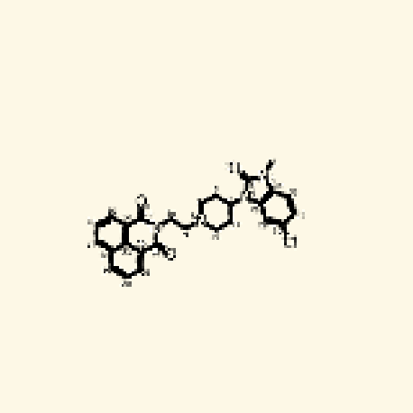 Cn1c(=O)n(C2CCN(CCN3C(=O)c4cccc5cccc(c45)C3=O)CC2)c2cc(Cl)ccc21